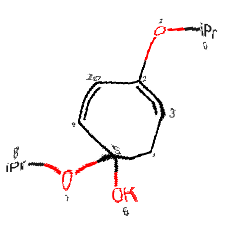 CC(C)OC1=CCC(O)(OC(C)C)C=C1